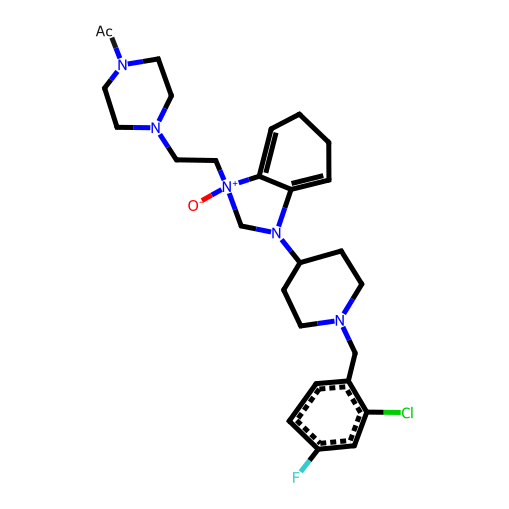 CC(=O)N1CCN(CC[N+]2([O-])CN(C3CCN(Cc4ccc(F)cc4Cl)CC3)C3=CCCC=C32)CC1